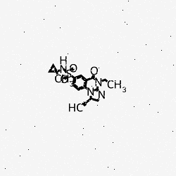 C#CC1CN=C2N(CC)C(=O)c3cc(S(=O)(=O)NC4(C)CC4)ccc3N21